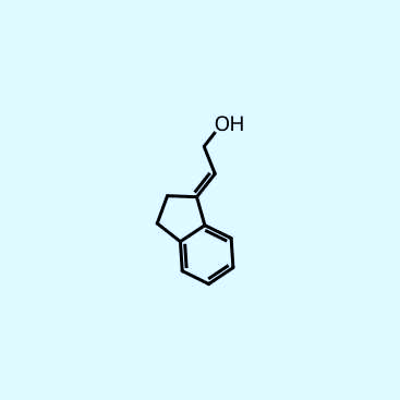 OC/C=C1\CCc2ccccc21